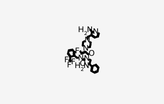 Cc1c(N2CCN(Cc3cccnc3N)CC2)c(=O)n(CC(N)c2ccccc2)c(=O)n1Cc1c(F)cccc1C(F)(F)F